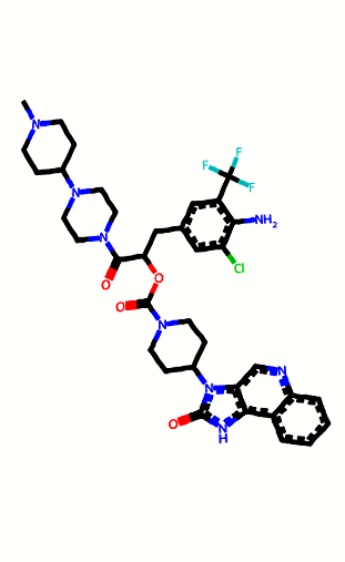 CN1CCC(N2CCN(C(=O)C(Cc3cc(Cl)c(N)c(C(F)(F)F)c3)OC(=O)N3CCC(n4c(=O)[nH]c5c6ccccc6ncc54)CC3)CC2)CC1